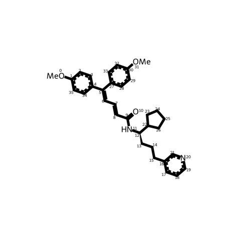 COc1ccc(C(=C/C=C/C(=O)N[C@H](CCCc2cccnc2)C2CCCC2)c2ccc(OC)cc2)cc1